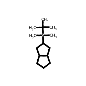 CC(C)(C)S(C)(C)C1CC2CCCC2C1